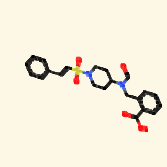 O=CN(Cc1ccccc1C(=O)O)C1CCN(S(=O)(=O)/C=C/c2ccccc2)CC1